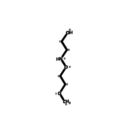 COCCONCCO